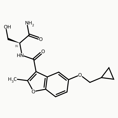 Cc1oc2ccc(OCC3CC3)cc2c1C(=O)N[C@@H](CO)C(N)=O